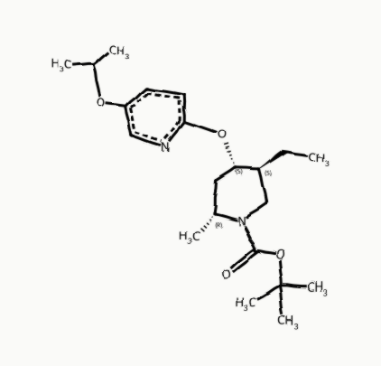 CC[C@H]1CN(C(=O)OC(C)(C)C)[C@H](C)C[C@@H]1Oc1ccc(OC(C)C)cn1